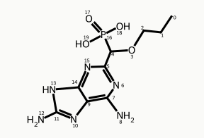 CCCOC(c1nc(N)c2nc(N)[nH]c2n1)P(=O)(O)O